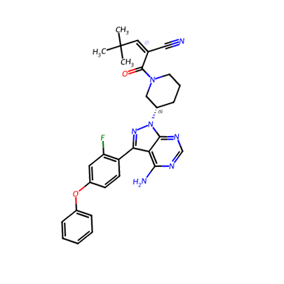 CC(C)(C)/C=C(/C#N)C(=O)N1CCC[C@H](n2nc(-c3ccc(Oc4ccccc4)cc3F)c3c(N)ncnc32)C1